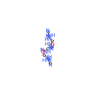 CC(NC(=O)c1cccc(NCc2nnc(-c3ccncc3)[nH]2)c1)c1ncnn1-c1ccc(C(CCN(C)C)NC(=O)c2cccc(NCc3nnc(-c4ccncc4)[nH]3)c2)cc1